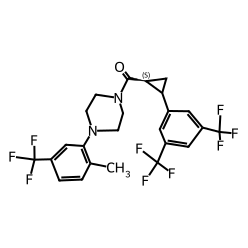 Cc1ccc(C(F)(F)F)cc1N1CCN(C(=O)[C@H]2CC2c2cc(C(F)(F)F)cc(C(F)(F)F)c2)CC1